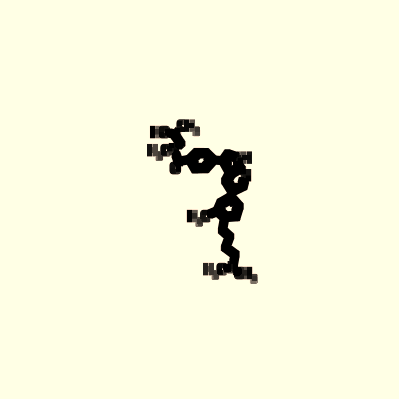 Cc1cc(-c2cnc3[nH]cc(-c4ccc(C(=O)N(C)C[C@@H](C)O)cc4)c3c2)ccc1CCCCN(C)C